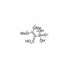 COC(OC)=C(C(=O)O)P(=O)(O)O